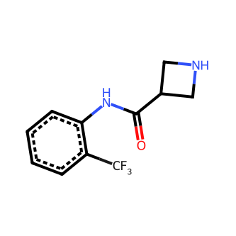 O=C(Nc1ccccc1C(F)(F)F)C1CNC1